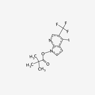 CC(C)(C)C(=O)On1ccc2c(I)c(C(F)(F)F)cnc21